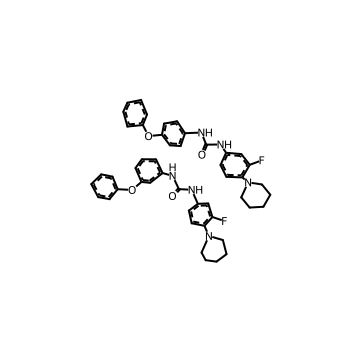 O=C(Nc1ccc(Oc2ccccc2)cc1)Nc1ccc(N2CCCCC2)c(F)c1.O=C(Nc1cccc(Oc2ccccc2)c1)Nc1ccc(N2CCCCC2)c(F)c1